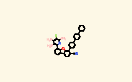 Bc1nc(-c2cccc3c2oc2c(-c4ccc(-c5ccc(-c6ccccc6)cc5)cc4)c(C#N)ccc23)c(B)c(B)c1F